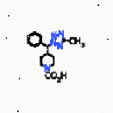 Cc1nnn(C(c2ccccc2)C2CCN(C(=O)O)CC2)n1